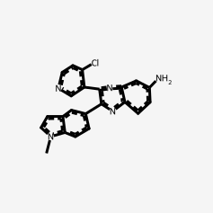 Cn1ccc2cc(-c3nc4ccc(N)cc4nc3-c3cnccc3Cl)ccc21